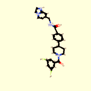 O=C(NCc1ccn2ccnc2c1)c1ccc(C2CCN(C(=O)c3cc(F)cc(F)c3)CC2)cc1